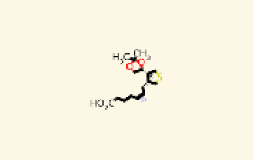 CC1(C)OCC([C@@H]2CSC[C@@H]2C/C=C\CCCC(=O)O)O1